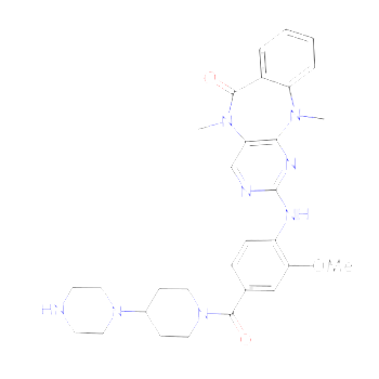 COc1cc(C(=O)N2CCC(N3CCNCC3)CC2)ccc1Nc1ncc2c(n1)N(C)c1ccccc1C(=O)N2C